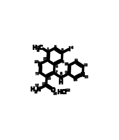 Cc1cc(I)cc2c(Nc3cccnc3)c(C(N)=O)cnc12.Cl